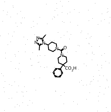 Cc1nnc(C)n1C1CCN(C(=O)N2CCC(C(=O)O)(c3ccccc3)CC2)CC1